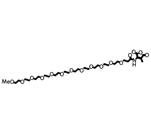 COCCOCCOCCOCCOCCOCCOCCOCCOCCOCCOCCOCCC(=O)NC1=C(C)C(=O)OC1=O